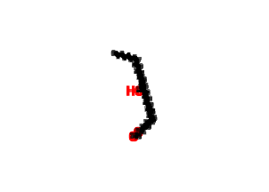 CCCCCC/C=C\CCCCCCCCC(O)CCCCCCCC/C=C\CCCCOC=O